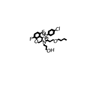 CCCCOCCCN(CCCO)[C@@H]1COc2c(F)ccc(F)c2[C@H]1S(=O)(=O)c1ccc(Cl)cc1